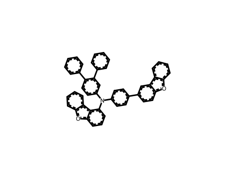 c1ccc(-c2ccc(N(c3ccc(-c4ccc5oc6ccccc6c5c4)cc3)c3cccc4oc5ccccc5c34)cc2-c2ccccc2)cc1